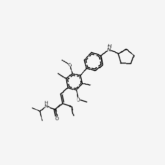 CC/C(=C\c1c(C)c(OC)c(-c2ccc(NC3CCCC3)cc2)c(C)c1OC)C(=O)NC(C)C